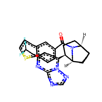 O=C(c1ccc2sccc2c1)N1[C@H]2CC[C@H](c3cc(C(F)F)nc4ncnn34)[C@@H]1CC2